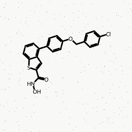 O=C(NO)c1cc2c(-c3ccc(OCc4ccc(Cl)cc4)cc3)cccc2s1